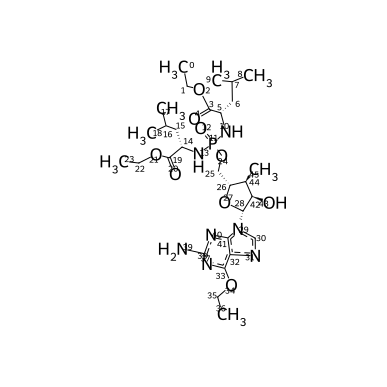 CCOC(=O)[C@H](CC(C)C)NP(=O)(N[C@@H](CC(C)C)C(=O)OCC)OC[C@H]1O[C@@H](n2cnc3c(OCC)nc(N)nc32)[C@H](O)[C@@H]1C